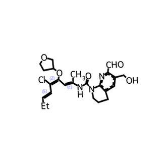 CC/C=C/C(Cl)=C(\C=C(/C)NC(=O)N1CCCc2cc(CO)c(C=O)nc21)OC1CCOC1